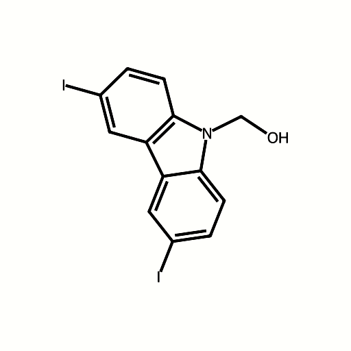 OCn1c2ccc(I)cc2c2cc(I)ccc21